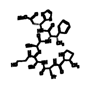 COC(=O)C[C@@H](NC(=O)[C@@H](NC(=O)[C@@H](/N=C(\NCCO)[C@@H](NC(=O)[C@@H](NC(=O)[C@H]1NCC[C@H]1C)C(C)C)C(C)(C)C)C(C)(C)C)[C@@H](C)c1ccccc1)c1nccs1